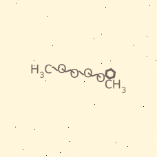 CCCOCCOCCOCCOc1ccccc1C